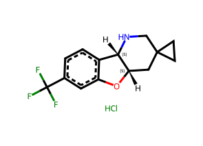 Cl.FC(F)(F)c1ccc2c(c1)O[C@H]1CC3(CC3)CN[C@@H]21